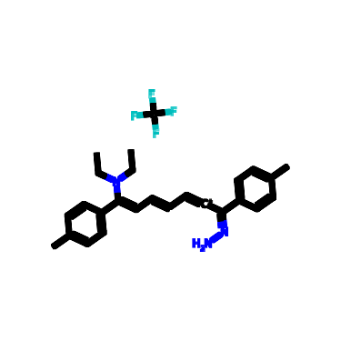 CCN(CC)C(=CC=C/C=[C+]/C(=NN)c1ccc(C)cc1)c1ccc(C)cc1.F[B-](F)(F)F